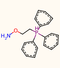 NOCC[PH](c1ccccc1)(c1ccccc1)c1ccccc1